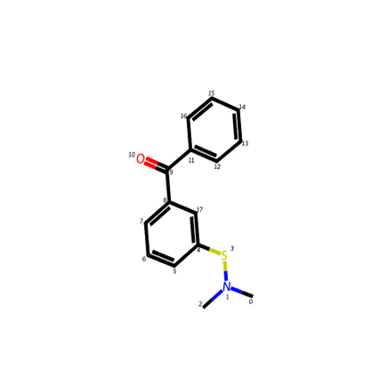 CN(C)Sc1cccc(C(=O)c2ccccc2)c1